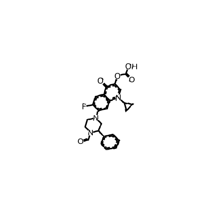 O=CN1CCN(c2cc3c(cc2F)c(=O)c(OC(=O)O)cn3C2CC2)CC1c1ccccc1